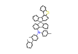 Cc1ccc(N(c2ccc(-c3ccccc3C)c(C)c2)c2cccc3c2-c2ccccc2C32c3ccccc3-c3c2ccc2sc4ccccc4c32)cc1